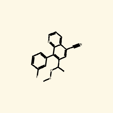 CSOC(C)c1cc(C#N)c2cccnc2c1-c1cccc(F)c1